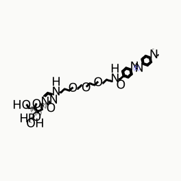 CN(C)c1ccc(/N=N/c2ccc(C(=O)NCCCOCCOCCOCCCNc3ccn([C@H]4C[C@@H](OPO)[C@@H](CO)O4)c(=O)n3)cc2)cc1